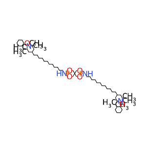 CC1(C)CC(CCCCCCCCCCCCNP2OCC3(CO2)COP(NCCCCCCCCCCCCC2CC(C)(C)N(OC4CCCCC4)C(C)(C)C2)OC3)CC(C)(C)N1OC1CCCCC1